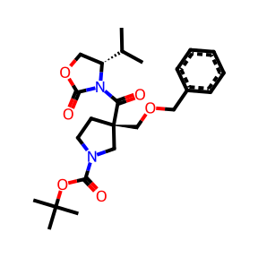 CC(C)[C@H]1COC(=O)N1C(=O)[C@@]1(COCc2ccccc2)CCN(C(=O)OC(C)(C)C)C1